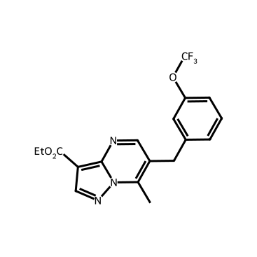 CCOC(=O)c1cnn2c(C)c(Cc3cccc(OC(F)(F)F)c3)cnc12